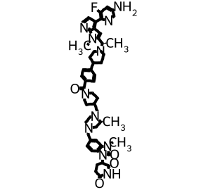 C[C@H]1CN(Cc2ccc3c(c2)n(C)c(=O)n3C2CCC(=O)NC2=O)CCN1CC1CCN(C(=O)c2ccc(C3CCN([C@@H](C)c4cc5c(-c6ncc(N)cc6F)ccnc5n4C)CC3)cc2)CC1